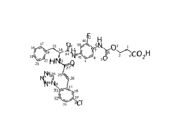 O=C(O)CCOC(=O)Nc1ccc(NC(=O)[C@H](Cc2ccccc2)NC(=O)/C=C/c2cc(Cl)ccc2-n2cnnn2)cc1F